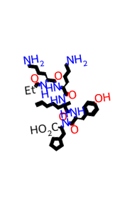 C=CCCCC(C)(NC(=O)[C@H](CCCCN)NC(=O)[C@H](CCCCN)NC(=O)CC)C(=O)N[C@@H](Cc1ccc(O)cc1)C(=O)N[C@@H](CC1CCCC1)C(=O)O